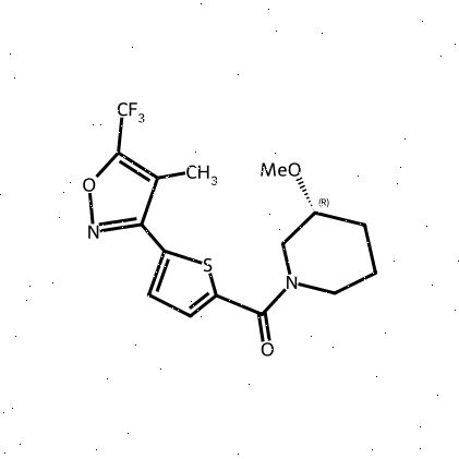 CO[C@@H]1CCCN(C(=O)c2ccc(-c3noc(C(F)(F)F)c3C)s2)C1